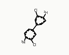 [2H]c1ccc(-c2ccc([2H])c(Cl)c2)cc1Cl